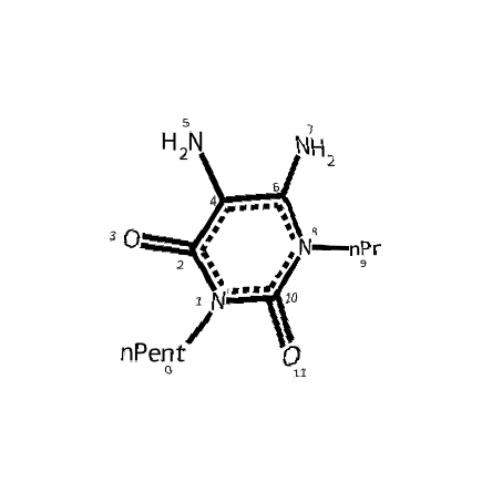 CCCCCn1c(=O)c(N)c(N)n(CCC)c1=O